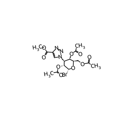 COC(=O)c1cn([C@@H]2[C@@H](OC(C)=O)[C@@H](Br)O[C@H](COC(C)=O)[C@@H]2OC(C)=O)nn1